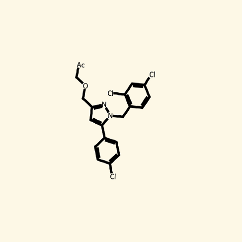 CC(=O)COCc1cc(-c2ccc(Cl)cc2)n(Cc2ccc(Cl)cc2Cl)n1